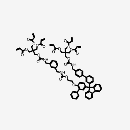 C=CC(=O)OCC(COC(=O)C=C)(COC(=O)C=C)COC(=O)NCc1ccc(-c2cccc(C3(c4ccc(OCCOC(=O)NCc5cccc(CNC(=O)OCC(COC(=O)C=C)(COC(=O)C=C)COC(=O)C=C)c5)c(-c5ccccc5)c4)c4ccccc4-c4ccccc43)c2)cc1